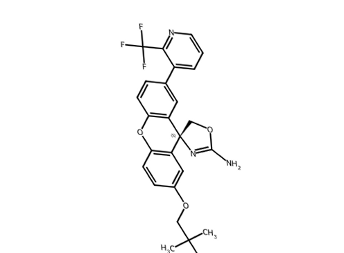 CC(C)(C)COc1ccc2c(c1)[C@]1(COC(N)=N1)c1cc(-c3cccnc3C(F)(F)F)ccc1O2